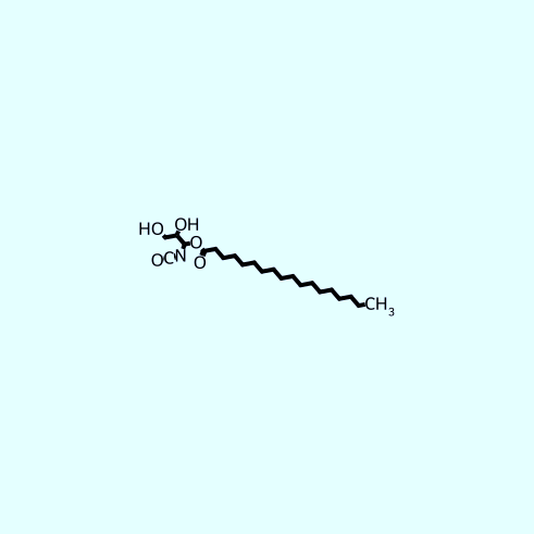 CCCCCCCCCCCCCCCCCC(=O)OC(N=C=O)C(O)CO